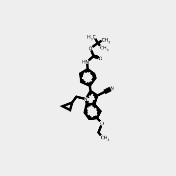 CCOc1ccc2c(c1)c(C#N)c(-c1ccc(NC(=O)OC(C)(C)C)cc1)n2CC1CC1